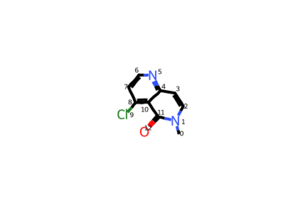 Cn1ccc2nccc(Cl)c2c1=O